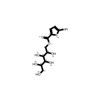 CCCc1ccc(C(=O)OCC(O)C(O)C(O)C(O)CO)s1